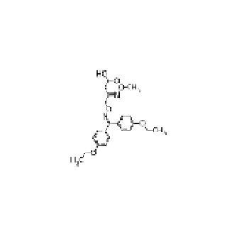 CCOc1ccc(C(=NOCC(CC(=O)O)=NOC)c2ccc(OCC)cc2)cc1